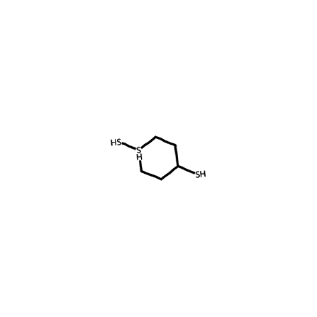 SC1CC[SH](S)CC1